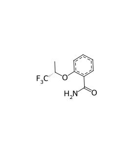 C[C@H](Oc1ccccc1C(N)=O)C(F)(F)F